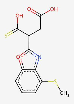 CSc1cccc2oc(C(CC(=O)O)C(O)=S)nc12